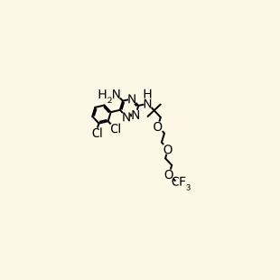 CC(C)(COCCOCCOC(F)(F)F)Nc1nnc(-c2cccc(Cl)c2Cl)c(N)n1